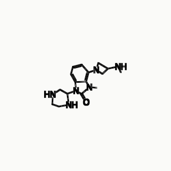 CNC1CN(c2cccc3c2n(C)c(=O)n3C2CNCCN2)C1